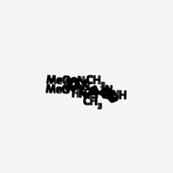 COc1cc2nc(C)nc(NC(C)c3ccc(-c4cnc5[nH]ccc5c4)s3)c2cc1OC